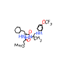 COCCC(=O)N[C@@H](CC1CCCCC1)C(=O)N[C@@H](C)CNc1ccc(OC(F)(F)F)cc1